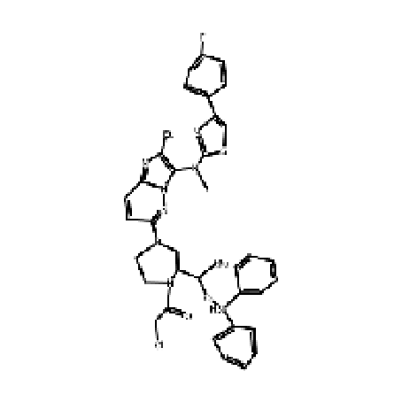 CCc1nc2ccc(N3CCN(C(=O)CCl)C(C(O[SiH](c4ccccc4)c4ccccc4)C(C)(C)C)C3)nn2c1N(C)c1nc(-c2ccc(F)cc2)cs1